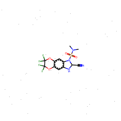 CN(C)S(=O)(=O)N1c2cc3c(cc2NC1C#N)OC(F)(F)C(F)(F)O3